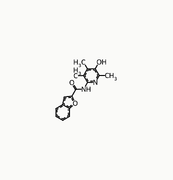 Cc1nc(NC(=O)c2cc3ccccc3o2)c(C)c(C)c1O